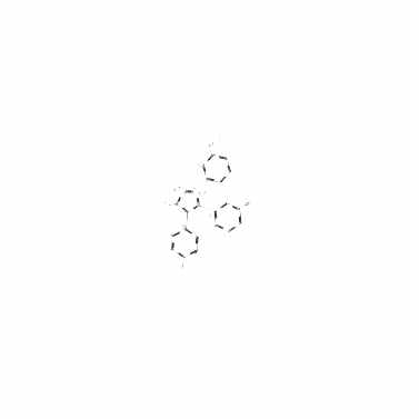 Cc1ccc(-c2c(O)nn(-c3cccc(C)c3)c2-c2cccc(C)c2)cc1